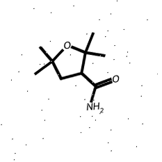 CC1(C)CC(C(N)=O)C(C)(C)O1